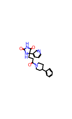 O=C1NC(=O)C(CCC(=O)N2CCC(c3ccccc3)CC2)(c2cccnc2)N1